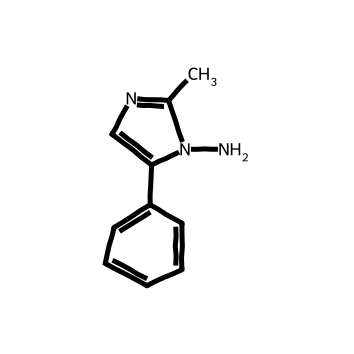 Cc1ncc(-c2ccccc2)n1N